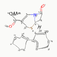 COC(=O)C1=CN2C(=O)C[C@H]2SC1.c1ccc(-c2ccccc2)cc1